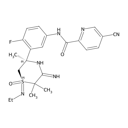 CCN=[S@@]1(=O)C[C@@](C)(c2cc(NC(=O)c3ccc(C#N)cn3)ccc2F)NC(=N)C1(C)C